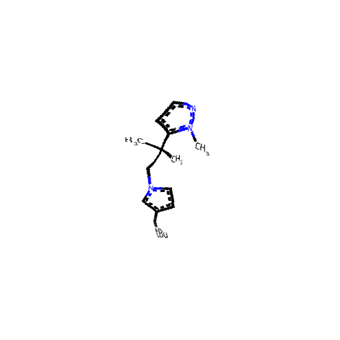 Cn1nccc1C(C)(C)Cn1ccc(C(C)(C)C)c1